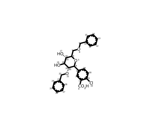 O=C(O)c1cc(C2OC(COCc3ccccc3)[C@@H](O)C(O)[C@H]2OCc2ccccc2)ccc1Cl